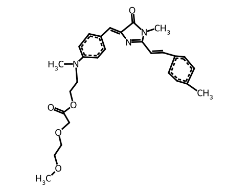 COCCOCC(=O)OCCN(C)c1ccc(/C=C2N=C(/C=C/c3ccc(C)cc3)N(C)C\2=O)cc1